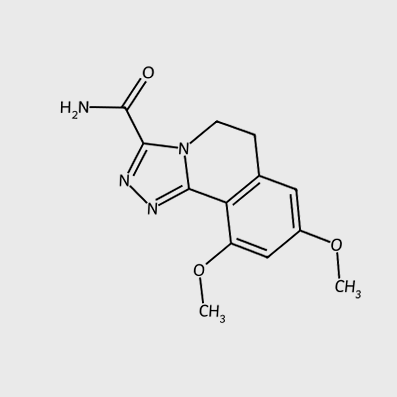 COc1cc2c(c(OC)c1)-c1nnc(C(N)=O)n1CC2